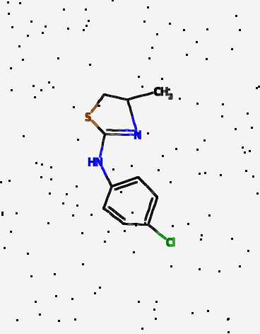 CC1CSC(Nc2ccc(Cl)cc2)=N1